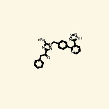 CCCCc1nc(C(=O)Cc2ccccc2)nn1Cc1ccc(-c2ncccc2-c2nnn[nH]2)cc1